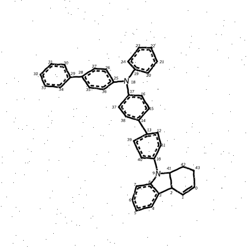 C1=CC2c3ccccc3N(c3ccc(-c4ccc(N(c5ccccc5)c5ccc(-c6ccccc6)cc5)cc4)cc3)C2CC1